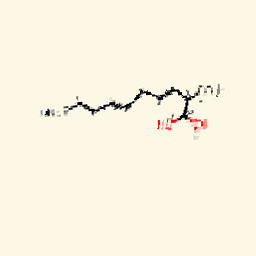 CCCCCCCCCCCCCCCCC(C(=O)O)C(O)O